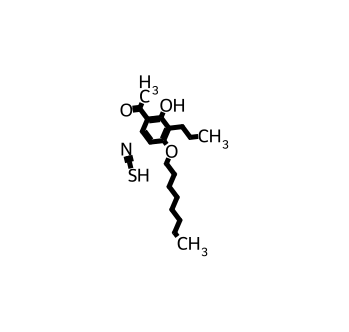 CCCCCCCCOc1ccc(C(C)=O)c(O)c1CCC.N#CS